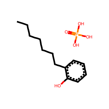 CCCCCCCc1ccccc1O.O=P(O)(O)O